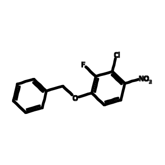 O=[N+]([O-])c1ccc(OCc2ccccc2)c(F)c1Cl